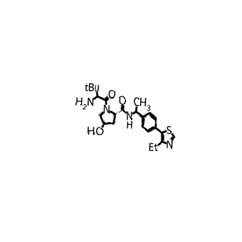 CCc1ncsc1-c1ccc(C(C)NC(=O)[C@@H]2C[C@@H](O)CN2C(=O)C(N)C(C)(C)C)cc1